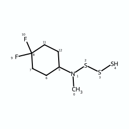 CN(SSS)C1CCC(F)(F)CC1